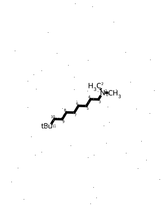 CN(C)CCCCCCCCC(C)(C)C